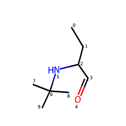 CCC([C]=O)NC(C)(C)C